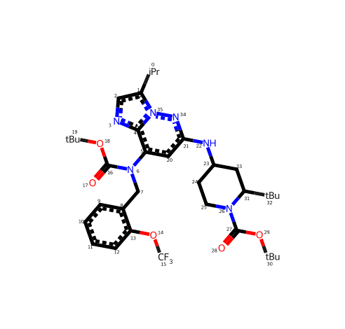 CC(C)c1cnc2c(N(Cc3ccccc3OC(F)(F)F)C(=O)OC(C)(C)C)cc(NC3CCN(C(=O)OC(C)(C)C)C(C(C)(C)C)C3)nn12